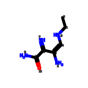 CCN/C=C(/N)C(=N)C(N)=O